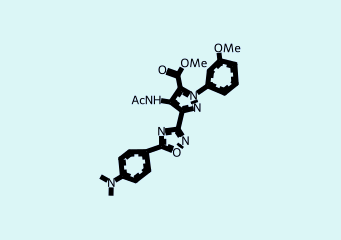 COC(=O)c1c(NC(C)=O)c(-c2noc(-c3ccc(N(C)C)cc3)n2)nn1-c1cccc(OC)c1